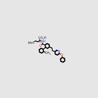 CSCC[C@H](NC(=O)c1ccc(CCc2ccc(Oc3ccccc3)nc2)cc1-c1ccccc1C)C(=O)O